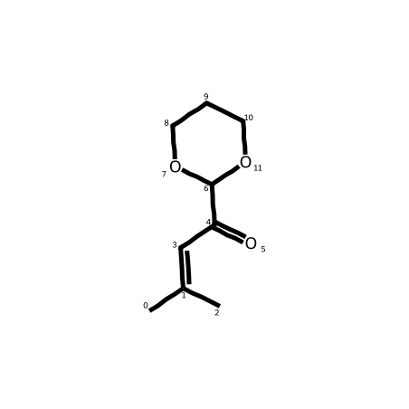 CC(C)=CC(=O)C1OCCCO1